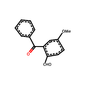 COc1ccc(C=O)c(C(=O)c2ccccc2)c1